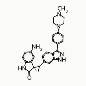 CN1CCN(c2ccc(-c3n[nH]c4cc(C5C[C@@]56C(=O)Nc5ccc(N)cc56)ccc34)cc2)CC1